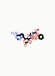 COC(=O)[C@H](C)NP(=O)(OC[C@@](C)(OC)[C@@H](OC(C)=O)[C@@H](OC(C)=O)c1ccc2c(N)ncnn12)Oc1ccccc1